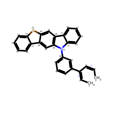 C/C=C\C(=C/C)c1cccc(-n2c3ccccc3c3cc4sc5ccccc5c4cc32)c1